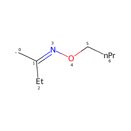 [CH2]/C(CC)=N/OCCCC